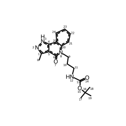 Cc1n[nH]c2c1c(=O)n(CCCNC(=O)OC(C)(C)C)c1ccccc21